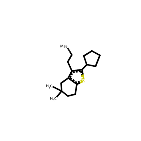 CSCCc1c(C2CCCC2)sc2c1CC(C)(C)CC2